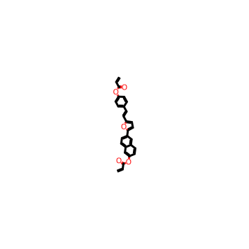 C=CC(=O)Oc1ccc(/C=C/c2ccc(-c3ccc4cc(OC(=O)C=C)ccc4c3)o2)cc1